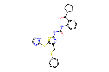 O=C(Nc1nc(CSc2ccccc2)c(Sc2ncc[nH]2)s1)Nc1ccccc1C(=O)C1CCCC1